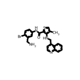 Cc1csc(C(=O)Nc2ccc(Br)c(CN)c2)c1NCc1ccnc2ccccc12